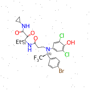 CC[C@H](NC(=O)CCN(c1cc(Cl)c(O)c(Cl)c1)[C@@H](c1ccc(Br)cc1)C(F)(F)F)C(=O)C(=O)NC1CC1